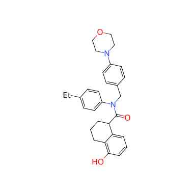 CCc1ccc(N(Cc2ccc(N3CCOCC3)cc2)C(=O)C2CCCc3c(O)cccc32)cc1